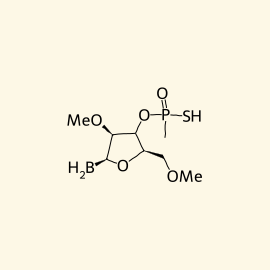 B[C@@H]1O[C@H](COC)C(OP(C)(=O)S)[C@@H]1OC